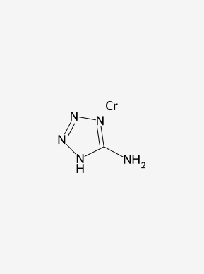 Nc1nnn[nH]1.[Cr]